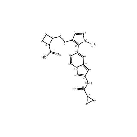 Cn1ncc(OCC2CCN2C(=O)O)c1-c1ccn2nc(NC(=O)C3CC3)cc2c1